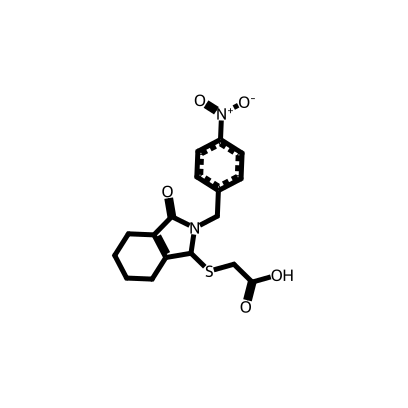 O=C(O)CSC1C2=C(CCCC2)C(=O)N1Cc1ccc([N+](=O)[O-])cc1